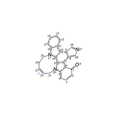 O=C1C=CC=c2c1c1c3c(c4c5ccccc5n5c4c1n2C/C=C\CC5)C=NC=3